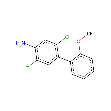 Nc1cc(Cl)c(-c2ccccc2OC(F)(F)F)cc1F